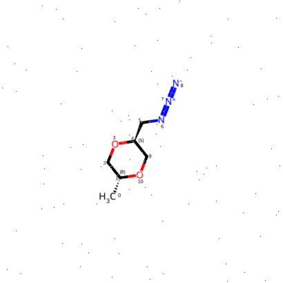 C[C@@H]1CO[C@@H](CN=[N+]=[N-])CO1